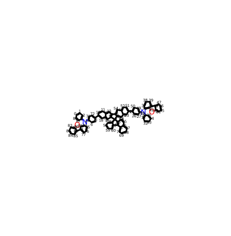 c1ccc(N(c2ccc(-c3ccc4cc5c(cc4c3)C3(c4cc6cc(-c7ccc(N(c8ccccc8)c8cccc9c8oc8ccccc89)cc7)ccc6cc4-5)c4ccccc4-c4c3ccc3ccccc43)cc2)c2cccc3c2oc2ccccc23)cc1